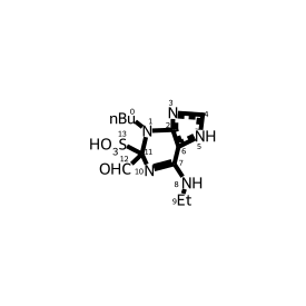 CCCCN1c2nc[nH]c2C(NCC)=NC1(C=O)S(=O)(=O)O